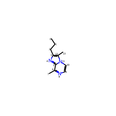 CCCc1nc2c(C)nccn2c1C